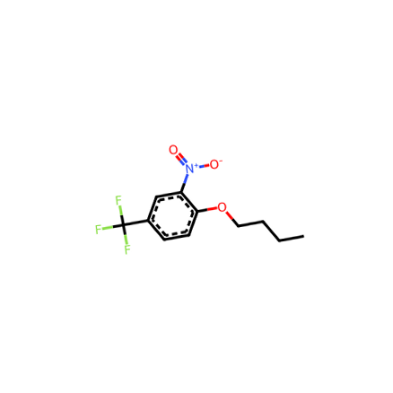 CCCCOc1ccc(C(F)(F)F)cc1[N+](=O)[O-]